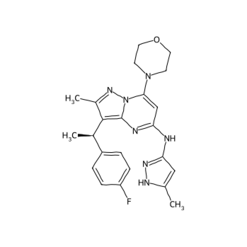 Cc1cc(Nc2cc(N3CCOCC3)n3nc(C)c([C@H](C)c4ccc(F)cc4)c3n2)n[nH]1